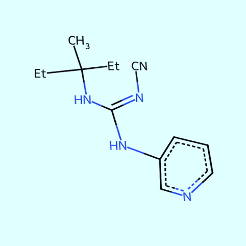 CCC(C)(CC)NC(=NC#N)Nc1cccnc1